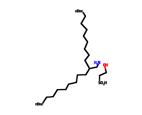 CCCCCCCCCCCCCCCCCCC(CN)CCCCCCCCCCCCCCCCCC.O=S(=O)(O)CCO